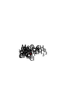 COc1cc(N(C)C)c(C)cc1-c1nc2c(n1C(C)C)C1(C(=O)Nc3cc(Cl)ccc31)N(c1cc(Cl)ccc1C)C2=O